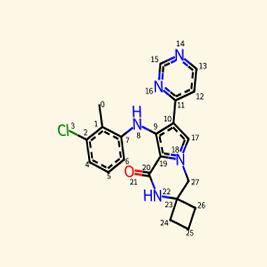 Cc1c(Cl)cccc1Nc1c(-c2ccncn2)cn2c1C(=O)NC1(CCC1)C2